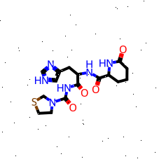 O=C1CCCC(C(=O)NC(Cc2c[nH]cn2)C(=O)NC(=O)N2CCSC2)N1